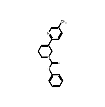 Cc1ccc(C2=CCCN(C(=O)Oc3ccccc3)C2)nc1